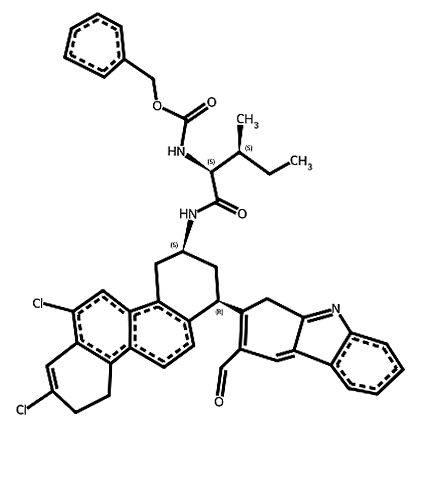 CC[C@H](C)[C@H](NC(=O)OCc1ccccc1)C(=O)N[C@@H]1Cc2c(ccc3c4c(c(Cl)cc23)C=C(Cl)CC4)[C@H](C2=C(C=O)C=C3C(=Nc4ccccc43)C2)C1